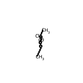 CCCCCCCCCC1CCC(C2CCC(OC(=O)c3ccc(CCCCCC)c(Cl)c3)CC2)CC1